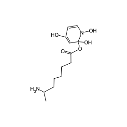 CC(N)CCCCCC(=O)OC1(O)C=C(O)C=CN1O